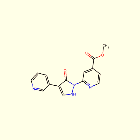 COC(=O)c1ccnc(-n2[nH]cc(-c3cccnc3)c2=O)c1